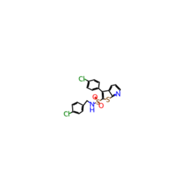 O=S(=O)(NCc1ccc(Cl)cc1)c1sc2ncccc2c1-c1ccc(Cl)cc1